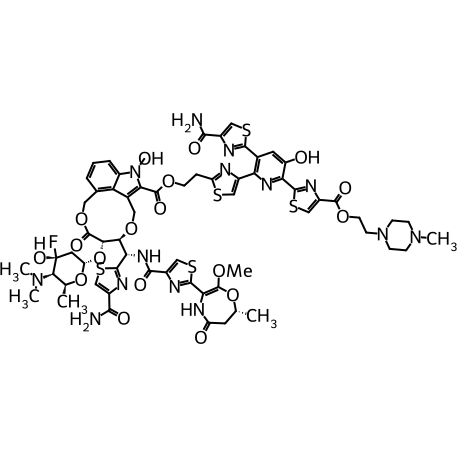 COC1=C(c2nc(C(=O)N[C@H](c3nc(C(N)=O)cs3)[C@@H]3OCc4c(C(=O)OCCc5nc(-c6nc(-c7nc(C(=O)OCCN8CCN(C)CC8)cs7)c(O)cc6-c6nc(C(N)=O)cs6)cs5)n(O)c5cccc(c45)COC(=O)[C@H]3O[C@H]3C[C@@](O)(F)[C@H](N(C)C)[C@H](C)O3)cs2)NC(=O)C[C@@H](C)O1